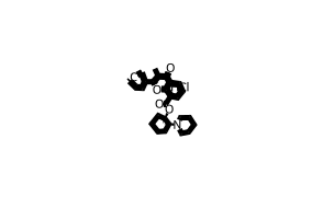 Cc1c(-c2ccccc2)oc2c(C(=O)O[C@@H]3CCCC[C@@H]3N3CCCCC3)cccc2c1=O.Cl